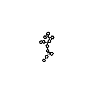 C1=CC(c2ccccc2)CC=C1n1c2ccccc2c2cc(-c3ccc(N(c4ccc5c(c4)C(=C4c6ccccc6-c6ccccc64)c4ccccc4-5)c4ccc5ccccc5c4)cc3)ccc21